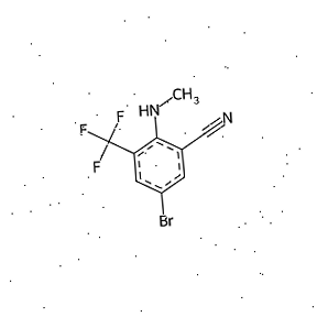 CNc1c(C#N)cc(Br)cc1C(F)(F)F